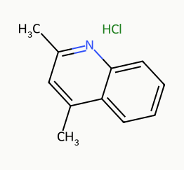 Cc1cc(C)c2ccccc2n1.Cl